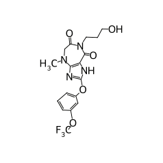 CN1CC(=O)N(CCCO)C(=O)c2[nH]c(Oc3cccc(OC(F)(F)F)c3)nc21